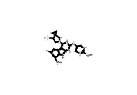 CNc1cc(F)cc2c1[nH]c1nc(Oc3cnc(OC)nc3)nc(N3CC(N)C4(CC4)C3)c12